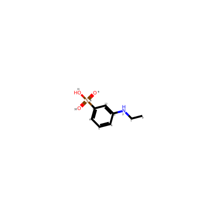 CCNc1cccc(S(=O)(=O)O)c1